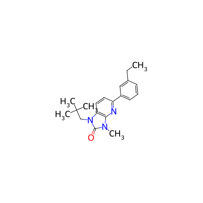 CCc1cccc(-c2ccc3c(n2)n(C)c(=O)n3CC(C)(C)C)c1